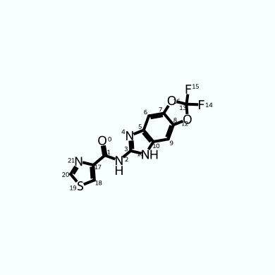 O=C(Nc1nc2cc3c(cc2[nH]1)OC(F)(F)O3)c1cscn1